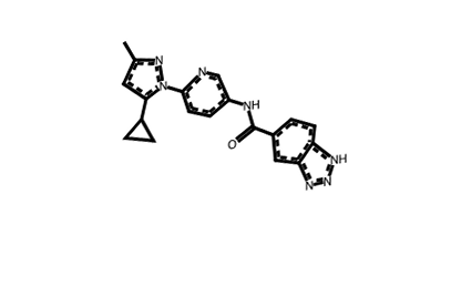 Cc1cc(C2CC2)n(-c2ccc(NC(=O)c3ccc4[nH]nnc4c3)cn2)n1